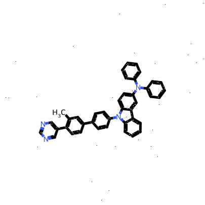 Cc1cc(-c2ccc(-n3c4ccccc4c4cc(N(c5ccccc5)c5ccccc5)ccc43)cc2)ccc1-c1cncnc1